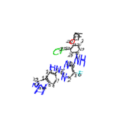 Fc1cnc(Nc2ccc3[nH]ncc3c2)nc1Nc1ccc(OC(F)(F)F)c(Cl)c1